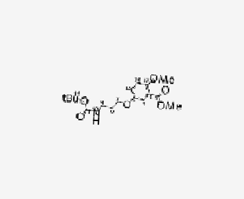 COC(=O)c1cc(OCCCNC(=O)OC(C)(C)C)ccc1OC